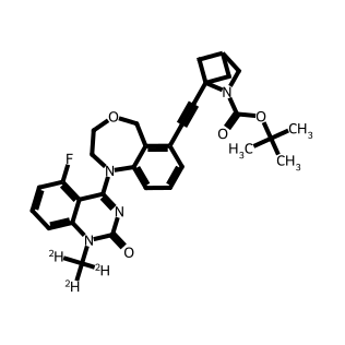 [2H]C([2H])([2H])n1c(=O)nc(N2CCOCc3c(C#CC45CC(CN4C(=O)OC(C)(C)C)C5)cccc32)c2c(F)cccc21